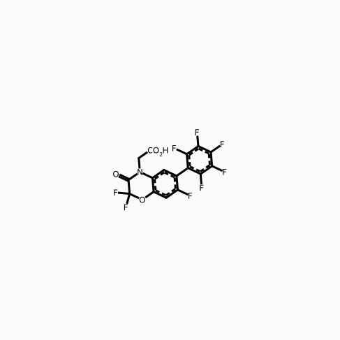 O=C(O)CN1C(=O)C(F)(F)Oc2cc(F)c(-c3c(F)c(F)c(F)c(F)c3F)cc21